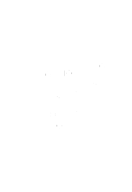 COC(=O)C1(O)C(=O)CCC1=O